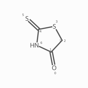 O=C1[C]SC(=S)N1